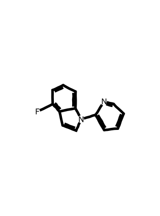 Fc1cccc2c1ccn2-c1ccccn1